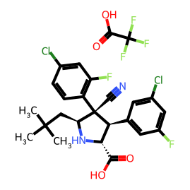 CC(C)(C)C[C@@H]1N[C@@H](C(=O)O)[C@H](c2cc(F)cc(Cl)c2)[C@@]1(C#N)c1ccc(Cl)cc1F.O=C(O)C(F)(F)F